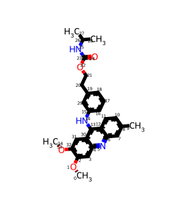 COc1cc2nc3cc(C)ccc3c(Nc3cccc(CCOC(=O)NC(C)C)c3)c2cc1OC